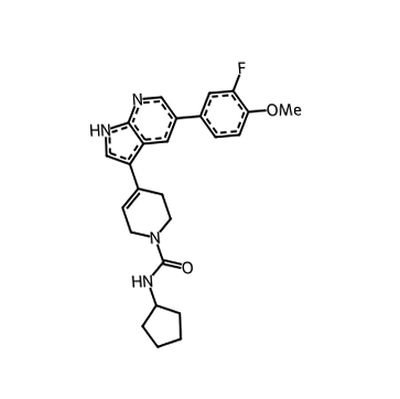 COc1ccc(-c2cnc3[nH]cc(C4=CCN(C(=O)NC5CCCC5)CC4)c3c2)cc1F